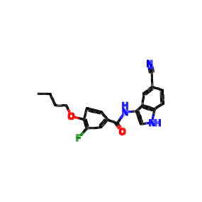 CCCCOc1ccc(C(=O)Nc2c[nH]c3ccc(C#N)cc23)cc1F